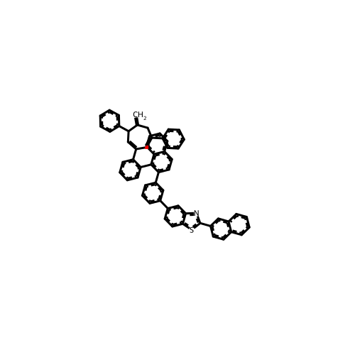 C=C1CC(c2ccccc2)=CC(c2ccccc2-c2c(-c3cccc(-c4ccc5sc(-c6ccc7ccccc7c6)nc5c4)c3)ccc3ccccc23)=CC1c1ccccc1